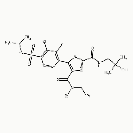 CCN(CC(C)C)C(=O)c1nc(C(=O)NCC(C)(C)O)sc1-c1ccc(S(=O)(=O)N[C@@H](C)C(F)(F)F)c(Cl)c1Cl